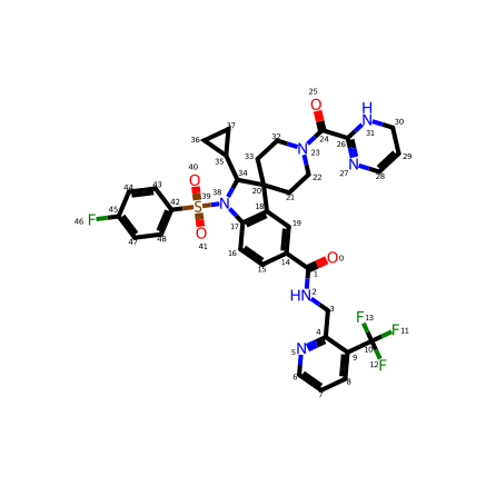 O=C(NCc1ncccc1C(F)(F)F)c1ccc2c(c1)C1(CCN(C(=O)C3=NC=CCN3)CC1)C(C1CC1)N2S(=O)(=O)c1ccc(F)cc1